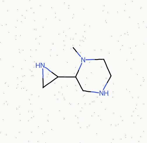 CN1CCNCC1C1CN1